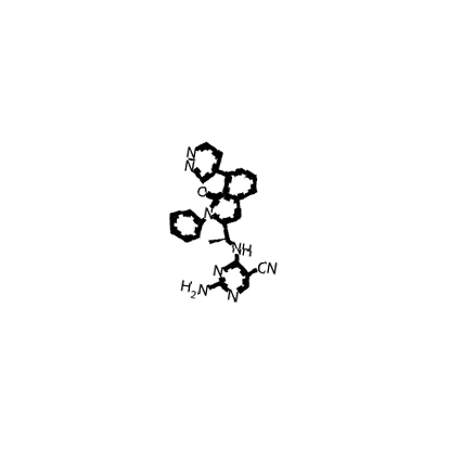 C[C@H](Nc1nc(N)ncc1C#N)c1cc2cccc(-c3ccnnc3)c2c(=O)n1-c1ccccc1